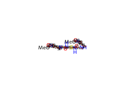 C/C=C(\C=C/NCCCC(=O)NCCSSCCNC(=O)CCCn1ccc(/C=C/c2ccc(N(C)CC(=O)OC)cc2)c1)/C=C/c1ccc(N(C)CC(=O)OC)cc1